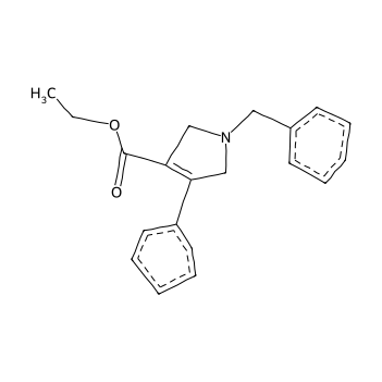 CCOC(=O)C1=C(c2ccccc2)CN(Cc2ccccc2)C1